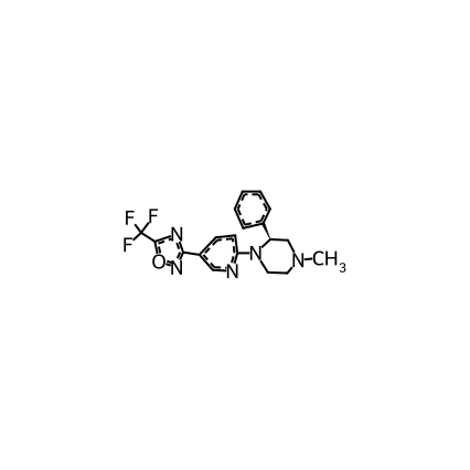 CN1CCN(c2ccc(-c3noc(C(F)(F)F)n3)cn2)[C@@H](c2ccccc2)C1